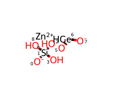 [O-][Si](O)(O)O.[O]=[GeH][O-].[Zn+2]